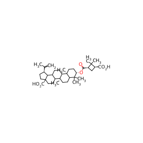 C=C(C)[C@@H]1CCC2(C(=O)O)CCC3C(CCC4[C@@]3(C)CCC3C(C)(C)[C@@H](OC(=O)[C@@H]5C[C@H](C(=O)O)C5(C)C)CC[C@@]34C)C12